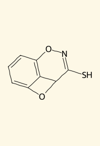 SC1=NOc2cccc3c2C1O3